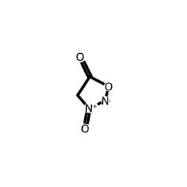 O=C1C[N+](=O)[N]O1